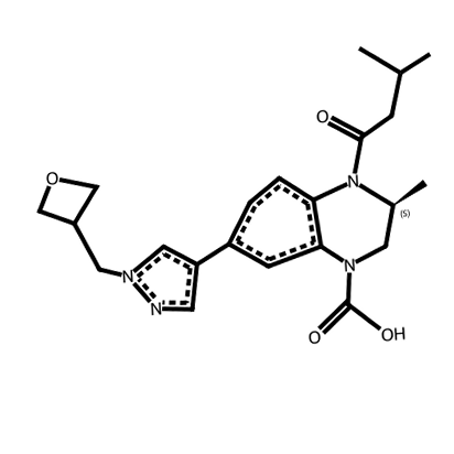 CC(C)CC(=O)N1c2ccc(-c3cnn(CC4COC4)c3)cc2N(C(=O)O)C[C@@H]1C